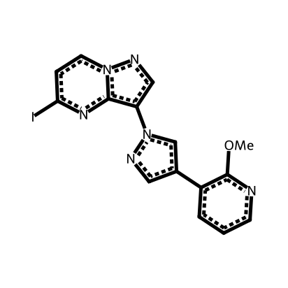 COc1ncccc1-c1cnn(-c2cnn3ccc(I)nc23)c1